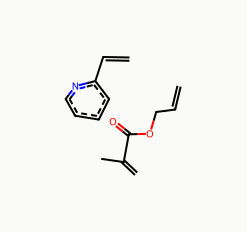 C=CCOC(=O)C(=C)C.C=Cc1ccccn1